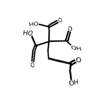 O=C(O)CC(C(=O)O)(C(=O)O)C(=O)O